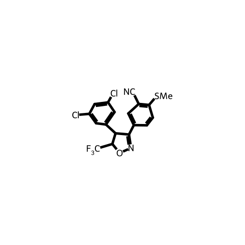 CSc1ccc(C2=NOC(C(F)(F)F)C2c2cc(Cl)cc(Cl)c2)cc1C#N